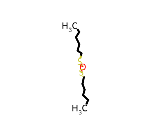 CCCCCCSOSCCCCCC